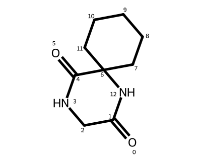 O=C1CNC(=O)C2(CCCCC2)N1